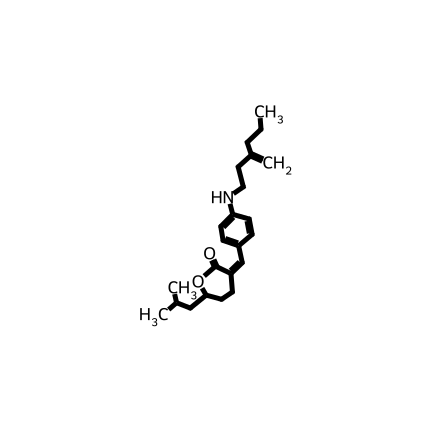 C=C(CCC)CCNc1ccc(/C=C2/CCC(CC(C)C)OC2=O)cc1